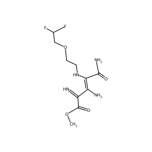 COC(=O)C(=N)/C(N)=C(\NCCOCC(F)F)C(N)=O